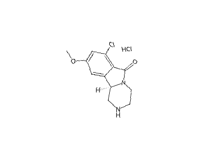 COc1cc(Cl)c2c(c1)[C@@H]1CNCCN1C2=O.Cl